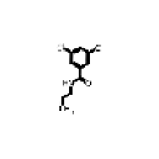 CCCNC(=O)c1cc(Cl)cc(Cl)c1